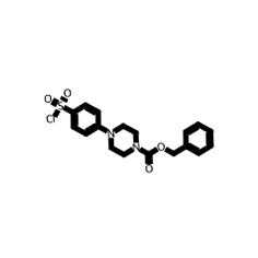 O=C(OCc1ccccc1)N1CCN(c2ccc(S(=O)(=O)Cl)cc2)CC1